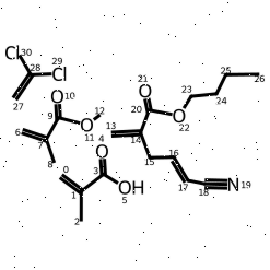 C=C(C)C(=O)O.C=C(C)C(=O)OC.C=C(CC=CC#N)C(=O)OCCCC.C=C(Cl)Cl